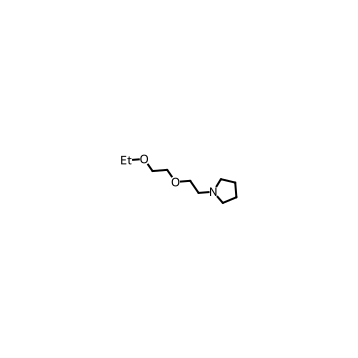 [CH2]COCCOCCN1CCCC1